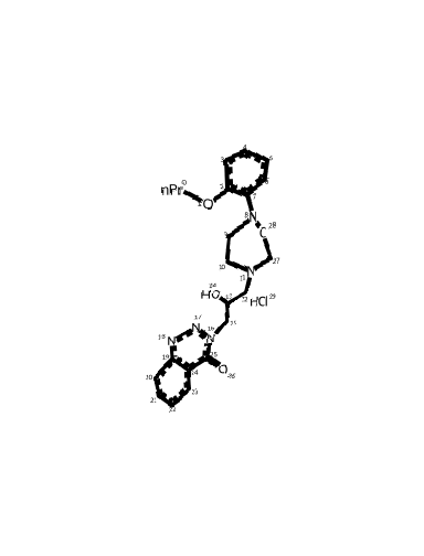 CCCOc1ccccc1N1CCN(CC(O)Cn2nnc3ccccc3c2=O)CC1.Cl